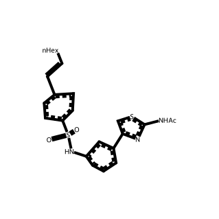 CCCCCCC=Cc1ccc(S(=O)(=O)Nc2cccc(-c3csc(NC(C)=O)n3)c2)cc1